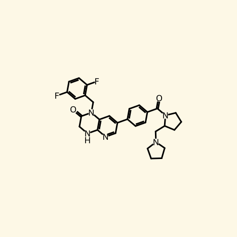 O=C1CNc2ncc(-c3ccc(C(=O)N4CCCC4CN4CCCC4)cc3)cc2N1Cc1cc(F)ccc1F